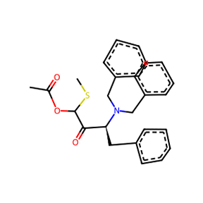 CSC(OC(C)=O)C(=O)[C@H](Cc1ccccc1)N(Cc1ccccc1)Cc1ccccc1